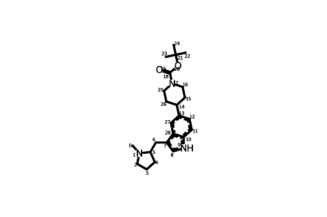 CN1CCCC1Cc1c[nH]c2ccc(C3CCN(C(=O)OC(C)(C)C)CC3)cc12